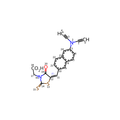 C#CN(C#C)c1ccc2cc(/C=C3/SC(=S)N(CC(=O)O)C3=O)ccc2c1